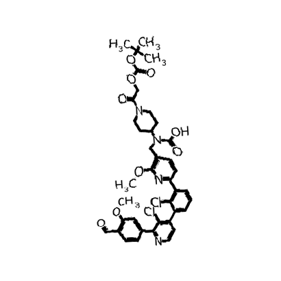 COc1cc(-c2nccc(-c3cccc(-c4ccc(CN(C(=O)O)C5CCN(C(=O)COC(=O)OC(C)(C)C)CC5)c(OC)n4)c3Cl)c2Cl)ccc1C=O